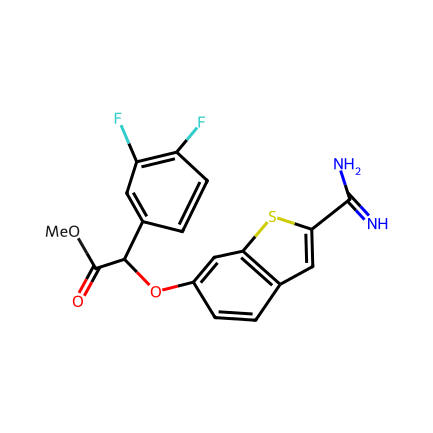 COC(=O)C(Oc1ccc2cc(C(=N)N)sc2c1)c1ccc(F)c(F)c1